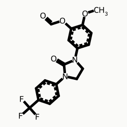 COc1ccc(N2CCN(c3ccc(C(F)(F)F)cc3)C2=O)cc1OC=O